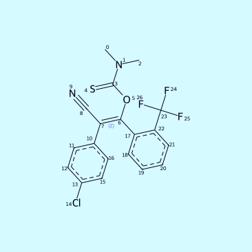 CN(C)C(=S)O/C(=C(\C#N)c1ccc(Cl)cc1)c1ccccc1C(F)(F)F